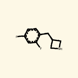 Fc1ccc(CC2CNC2)c(F)c1